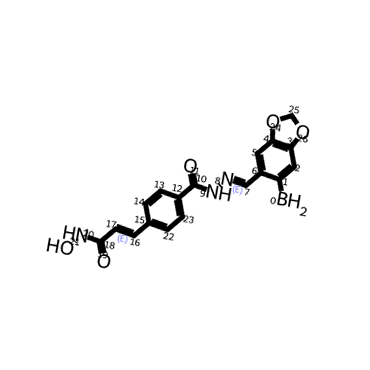 Bc1cc2c(cc1/C=N/NC(=O)c1ccc(/C=C/C(=O)NO)cc1)OCO2